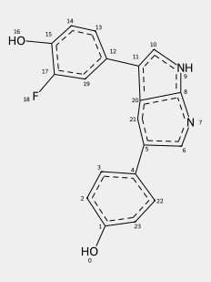 Oc1ccc(-c2cnc3[nH]cc(-c4ccc(O)c(F)c4)c3c2)cc1